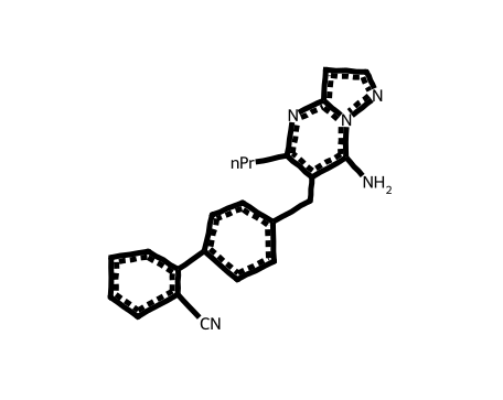 CCCc1nc2ccnn2c(N)c1Cc1ccc(-c2ccccc2C#N)cc1